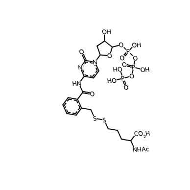 CC(=O)NC(CCCSSCc1ccccc1C(=O)Nc1ccn(C2CC(O)C(OP(=O)(O)OP(=O)(O)OP(=O)(O)O)O2)c(=O)n1)C(=O)O